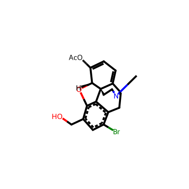 CC(=O)OC1=CC=C2C3Cc4c(Br)cc(CO)c5c4[C@]2(CCN3C)[C@@H]1O5